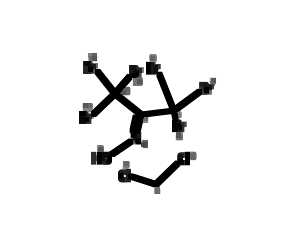 ClCCl.ON=C(C(Br)(Br)Br)C(Br)(Br)Br